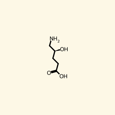 NC[C@@H](O)CCC(=O)O